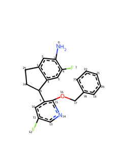 Nc1cc2c(cc1F)C(c1cc(F)cnc1OCc1ccccc1)CC2